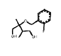 CC(CO)C(C)(CO)OCc1ccccc1F